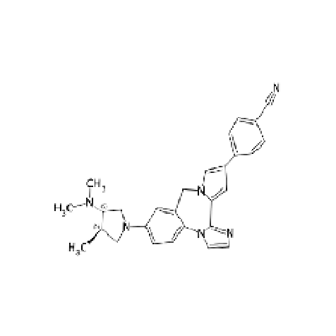 C[C@@H]1CN(c2ccc3c(c2)Cn2cc(-c4ccc(C#N)cc4)cc2-c2nccn2-3)C[C@H]1N(C)C